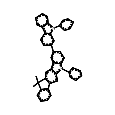 CC1(C)c2ccccc2-c2cc3c(cc21)c1cc(-c2ccc4c5ccccc5n(-c5ccccc5)c4c2)ccc1n3-c1ccccc1